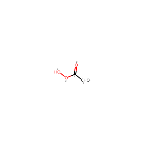 O=[C]C(=O)OO